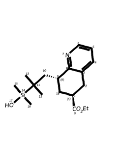 CCOC(=O)[C@@H]1Cc2cccnc2[C@@H](CC(C)(C)[Si](C)(C)O)C1